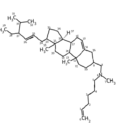 C=CCCCCN(C)CC1CCC2(C)C(=CCC3C2CCC2(C)C(C/C=C/C(CC)C(C)C)CC[C@@H]32)C1